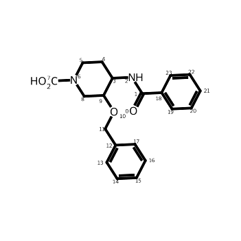 O=C(NC1CCN(C(=O)O)CC1OCc1ccccc1)c1ccccc1